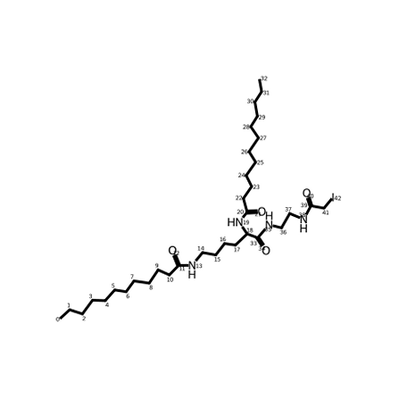 CCCCCCCCCCCC(=O)NCCCCC(NC(=O)CCCCCCCCCCC)C(=O)NCCNC(=O)CI